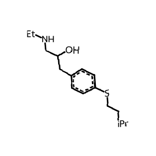 CCNCC(O)Cc1ccc(SCCC(C)C)cc1